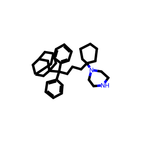 c1ccc(C(CCCC2(N3CCNCC3)CCCCC2)(c2ccccc2)C23CC4CC(CC(C4)C2)C3)cc1